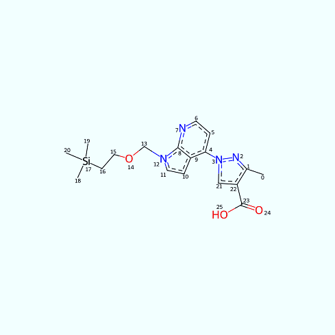 Cc1nn(-c2ccnc3c2ccn3COCC[Si](C)(C)C)cc1C(=O)O